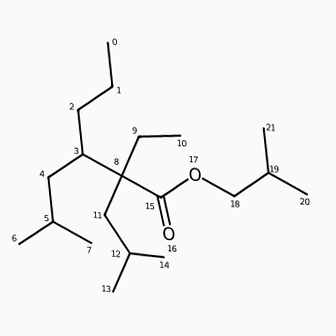 CCCC(CC(C)C)C(CC)(CC(C)C)C(=O)OCC(C)C